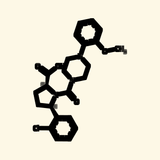 COc1ccccc1N1CCN(C(=O)N2[C@@H](c3ccccc3Cl)CC[C@H]2C(=O)O)CC1